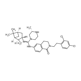 C[C@@H]1[C@@H](/N=C(/Nc2ccc3c(c2)CCN(CCc2ccc(Cl)cc2Cl)C3=O)N2CCN[C@@H](C)C2)C[C@H]2C[C@@H]1C2(C)C